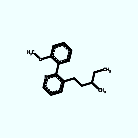 CCC(C)CCc1cccnc1-c1ccccc1OC